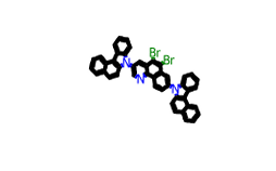 Brc1c(Br)c2cc(-n3c4ccccc4c4c5ccccc5ccc43)cnc2c2ccc(-n3c4ccccc4c4c5ccccc5ccc43)cc12